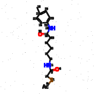 CC(=O)SCC(=O)NCCCCCC(=O)Nc1ccc(C)cc1